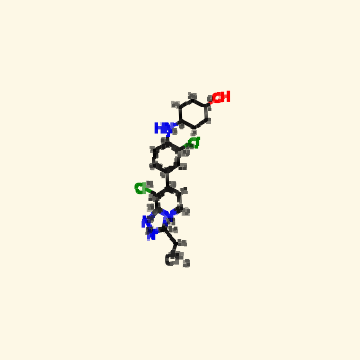 OC1CCC(Nc2ccc(-c3ccn4c(CC(F)(F)F)nnc4c3Cl)cc2Cl)CC1